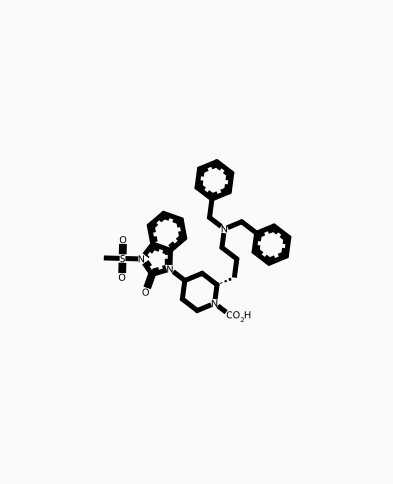 CS(=O)(=O)n1c(=O)n(C2CCN(C(=O)O)[C@@H](CCCN(Cc3ccccc3)Cc3ccccc3)C2)c2ccccc21